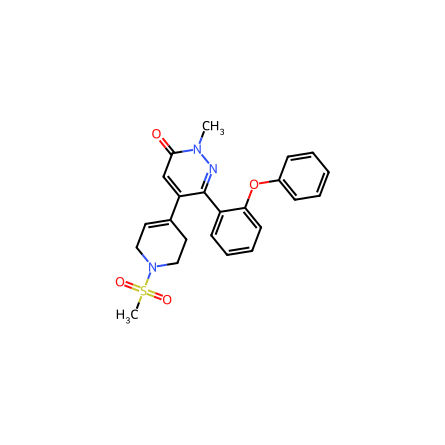 Cn1nc(-c2ccccc2Oc2ccccc2)c(C2=CCN(S(C)(=O)=O)CC2)cc1=O